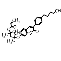 C=CC(=O)OC(C)(C)CC(C)(C)Oc1ccc2cc(-c3ccc(CCCCC)cc3)c(=O)sc2c1